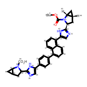 CC(C)(C)OC(=O)N1[C@@H]2C[C@@H]2C[C@H]1c1ncc(-c2cccc3c(-c4ccc(-c5cnc(C6CC7CC7N6C(=O)O)[nH]5)cc4)cccc23)[nH]1